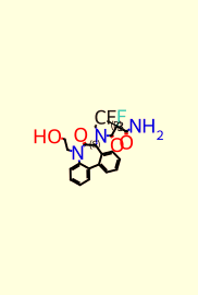 C[C@@](F)(C(N)=O)C(=O)N(CC(F)(F)F)[C@@H]1C(=O)N(CCO)c2ccccc2-c2ccccc21